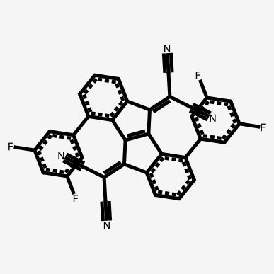 N#CC(C#N)=C1C2=C(C(=C(C#N)C#N)c3cccc(-c4cc(F)cc(F)c4)c32)c2c1cccc2-c1cc(F)cc(F)c1